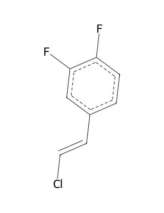 Fc1ccc(C=CCl)cc1F